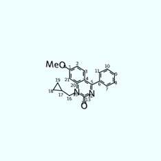 COc1ccc2c(-c3ccccc3)nc(=O)n(CC3CC3)c2c1